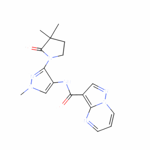 Cn1cc(NC(=O)c2cnn3cccnc23)c(N2CCC(C)(C)C2=O)n1